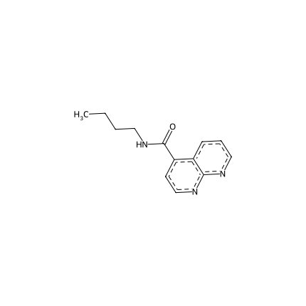 CCCCNC(=O)c1ccnc2ncccc12